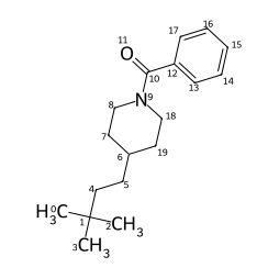 CC(C)(C)CCC1CCN(C(=O)c2ccccc2)CC1